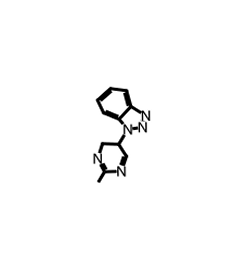 CC1=NCC(n2nnc3ccccc32)C=N1